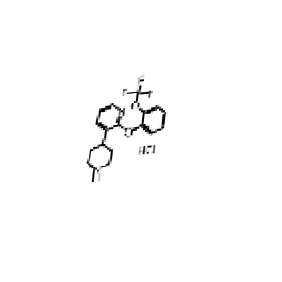 Cl.FC(F)(F)Oc1ccccc1Oc1ncccc1C1CCNCC1